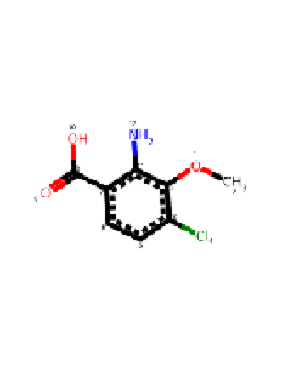 COc1c(Cl)ccc(C(=O)O)c1N